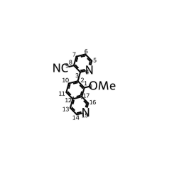 COc1c(-c2ncccc2C#N)ccc2ccncc12